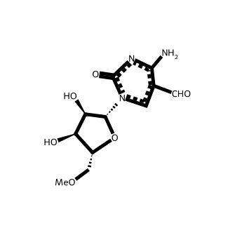 COC[C@H]1O[C@@H](n2cc(C=O)c(N)nc2=O)[C@H](O)[C@@H]1O